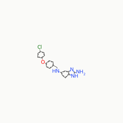 Nc1nc2cc(NCc3ccc(Oc4ccc(Cl)cc4)cc3)ccc2[nH]1